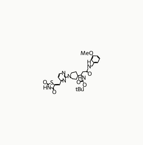 COc1cccc(CNC(=O)CC(NC(=O)OC(C)(C)C)C2CCN(c3nccc(/C=C4\SC(=O)NC4=O)n3)CC2)c1